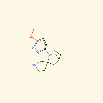 COc1ccc([N+]23CCC(CC24CCNC4)C3)nn1